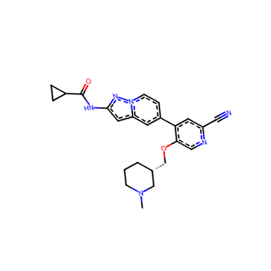 CN1CCC[C@H](COc2cnc(C#N)cc2-c2ccn3nc(NC(=O)C4CC4)cc3c2)C1